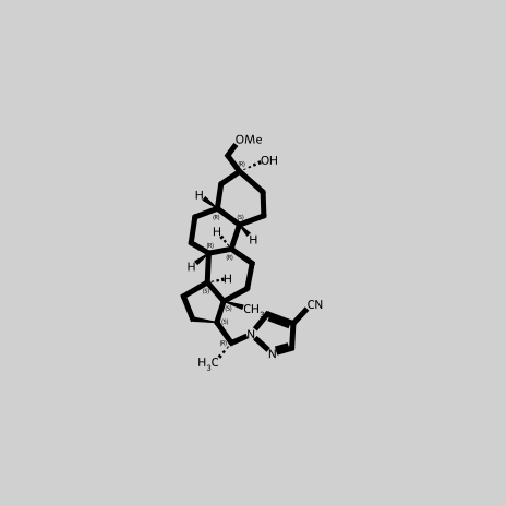 COC[C@@]1(O)CC[C@H]2[C@H](CC[C@@H]3[C@@H]2CC[C@]2(C)[C@@H]([C@@H](C)n4cc(C#N)cn4)CC[C@@H]32)C1